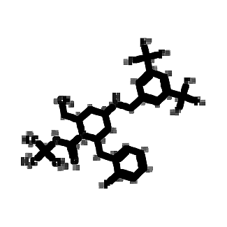 CCC1CC(NCc2cc(C(F)(F)F)cc(C(F)(F)F)c2)CC(Cc2ccccc2F)N1C(=O)OC(C)(C)C